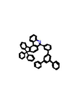 c1ccc(-c2cc(-c3ccccc3)cc(-c3cccc(-c4nc5ccccc5c5c6c(ccc45)C(c4ccccc4)(c4ccccc4)c4ccccc4-6)c3)c2)cc1